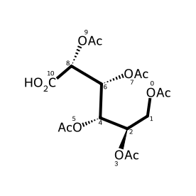 CC(=O)OC[C@@H](OC(C)=O)[C@H](OC(C)=O)[C@@H](OC(C)=O)[C@@H](OC(C)=O)C(=O)O